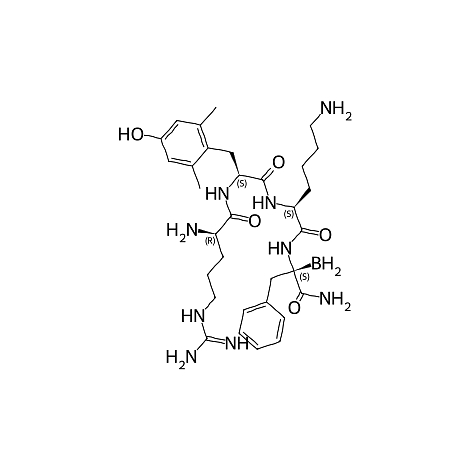 B[C@@](Cc1ccccc1)(NC(=O)[C@H](CCCCN)NC(=O)[C@H](Cc1c(C)cc(O)cc1C)NC(=O)[C@H](N)CCCNC(=N)N)C(N)=O